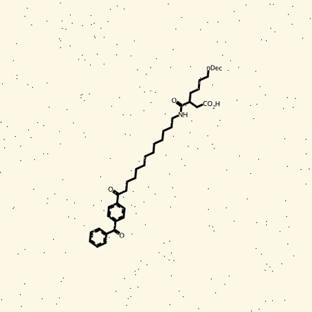 CCCCCCCCCCCCCCC(CC(=O)O)C(=O)NCCCCCCCCCCCCC(=O)c1ccc(C(=O)c2ccccc2)cc1